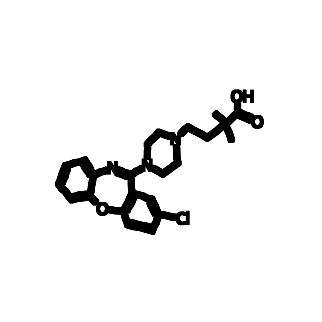 CC(C)(CCN1CCN(C2=Nc3ccccc3Oc3ccc(Cl)cc32)CC1)C(=O)O